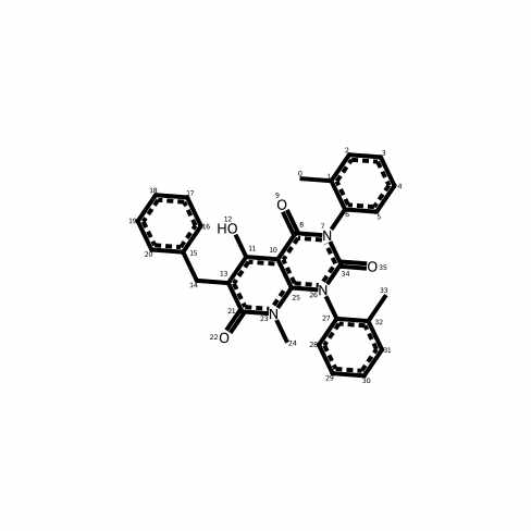 Cc1ccccc1-n1c(=O)c2c(O)c(Cc3ccccc3)c(=O)n(C)c2n(-c2ccccc2C)c1=O